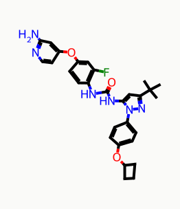 CC(C)(C)c1cc(NC(=O)Nc2ccc(Oc3ccnc(N)c3)cc2F)n(-c2ccc(OC3CCC3)cc2)n1